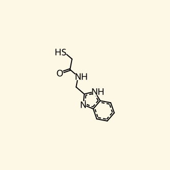 O=C(CS)NCc1nc2ccccc2[nH]1